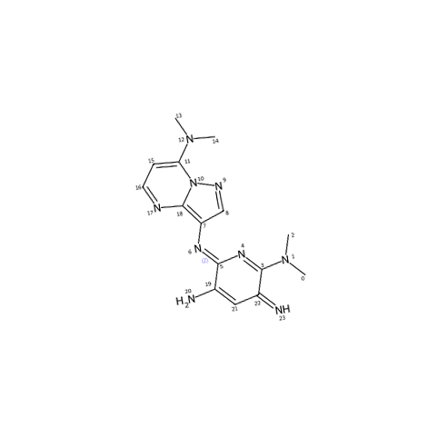 CN(C)C1=N/C(=N\c2cnn3c(N(C)C)ccnc23)C(N)=CC1=N